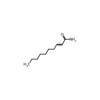 CCCCCCC/C=C/C(N)=O